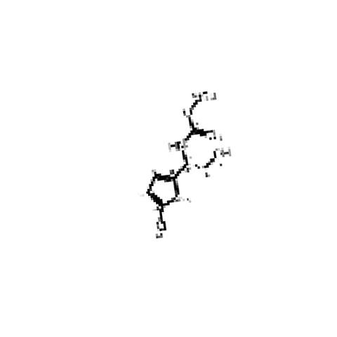 CC(C)(C)OC(=O)N[C@H](CO)c1ccc(Cl)s1